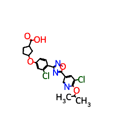 CC(C)Oc1ncc(-c2nc(-c3ccc(OC4CCC(C(=O)O)C4)cc3Cl)no2)cc1Cl